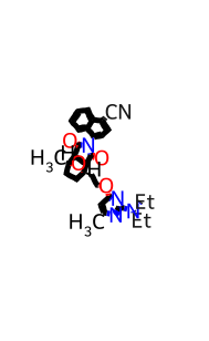 CCN(CC)c1nc(C)cc(OCC[C@@]23CC[C@@](C)(O2)[C@H]2C(=O)N(c4ccc(C#N)c5ccccc45)C(=O)[C@H]23)n1